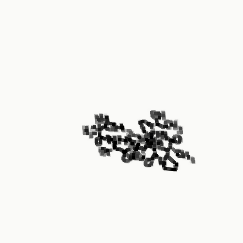 CCC(C)C(C(CC(=O)N1CCCC1C(OC)C(C)C(=O)NC(C)C(O)c1ccccc1)OC)N(C)C(=O)[C@@H](NC(=O)C(C)(C)N)C(C)C